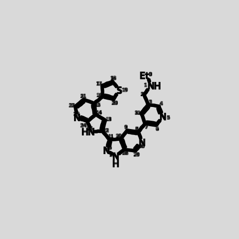 CCNCc1cncc(-c2cc3c(-c4cc5c(-c6ccsc6)ccnc5[nH]4)n[nH]c3cn2)c1